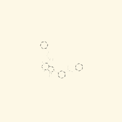 c1ccc(CCNc2ncnc3[nH]c(-c4cccc(NCc5ccccc5)c4)cc23)cc1